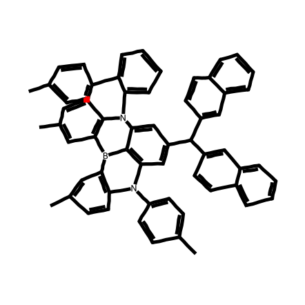 Cc1ccc(-c2ccccc2N2c3ccc(C)cc3B3c4cc(C)ccc4N(c4ccc(C)cc4)c4cc(C(c5ccc6ccccc6c5)c5ccc6ccccc6c5)cc2c43)cc1